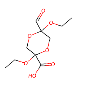 CCOC1(C=O)COC(OCC)(C(=O)O)CO1